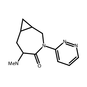 CNC1CC2CC2CN(c2cccnn2)C1=O